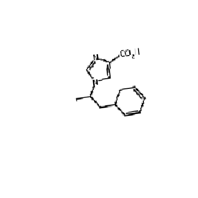 C[C@H](CC1C=CC=CC1)n1cnc(C(=O)O)c1